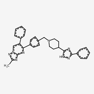 Cc1nc2nc(-c3ccc(CN4CCC(c5nc(-c6ccccc6)n[nH]5)CC4)cc3)c(-c3ccccc3)cn2n1